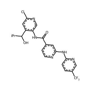 CC(C)C(O)c1cc(Cl)ncc1NC(=O)c1ccnc(Nc2ccc(C(F)(F)F)cn2)c1